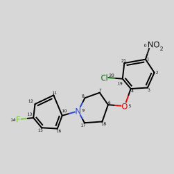 O=[N+]([O-])c1ccc(OC2CCN(c3ccc(F)cc3)CC2)c(Cl)c1